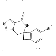 S=C1N[C@@]2(Cc3ccc(Br)cc32)Cn2cncc21